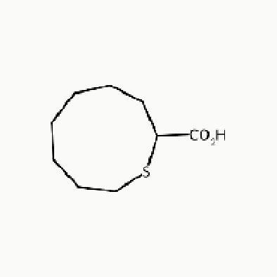 O=C(O)C1CCCCCCCS1